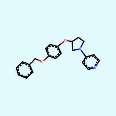 c1ccc(COc2ccc(OC3CCN(c4ccncc4)C3)cc2)cc1